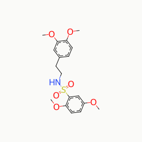 COc1ccc(OC)c(S(=O)(=O)NCCc2ccc(OC)c(OC)c2)c1